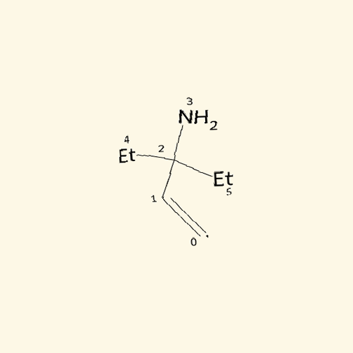 [CH]=CC(N)(CC)CC